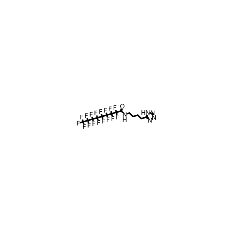 O=C(NCCCCc1nnn[nH]1)C(F)(F)C(F)(F)C(F)(F)C(F)(F)C(F)(F)C(F)(F)C(F)(F)C(F)(F)F